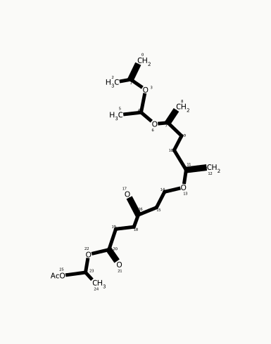 C=C(C)OC(C)OC(=C)CCC(=C)OCCC(=O)CCC(=O)OC(C)OC(C)=O